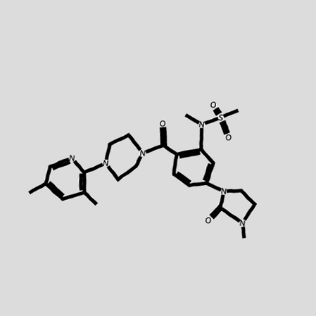 Cc1cnc(N2CCN(C(=O)c3ccc(N4CCN(C)C4=O)cc3N(C)S(C)(=O)=O)CC2)c(C)c1